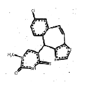 Cn1cc(C2c3ccc(Cl)cc3C=Cc3scnc32)c(=S)[nH]c1=O